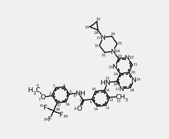 COc1ccc(NC(=O)c2ccc(C)c(Nc3ncnc4cnc(N5CCN(C6CC6)CC5)nc34)c2)cc1C(F)(F)F